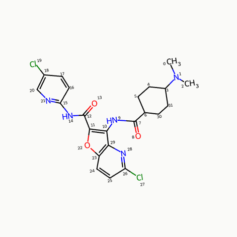 CN(C)C1CCC(C(=O)Nc2c(C(=O)Nc3ccc(Cl)cn3)oc3ccc(Cl)nc23)CC1